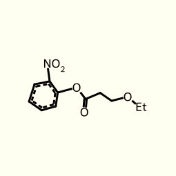 CCOCCC(=O)Oc1ccccc1[N+](=O)[O-]